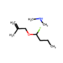 C=C(C)COC(F)CCC.CNC